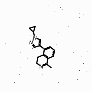 CC1=NCCc2c1cccc2-c1cnn(C2CC2)c1